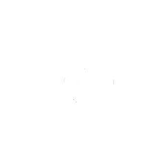 CC(C)(CN)C(=O)O.CCOC(=O)Cl